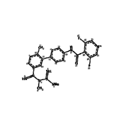 CSC(=N)N(C)C(=N)c1ccc(C)c(-c2ccc(NC(=O)c3c(F)cncc3F)cc2)c1